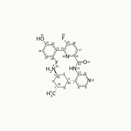 C[C@@H]1C[C@@H](N)C[C@H](c2ccncc2NC(=O)c2ccc(F)c(-c3cc(O)ccc3F)n2)C1